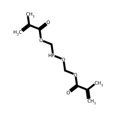 C=C(C)C(=O)OCOPCOC(=O)C(=C)C